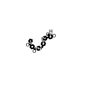 O=C1CCC(c2ccnc(N3CCC(CN4CCN(C(=O)C5CCC(C(=O)N6CCCC6)CC5)CC4)CC3)c2)C(=O)N1